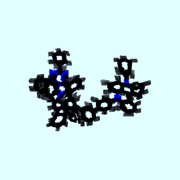 CC1(C)c2ccccc2-c2cc3c4ccccc4n(-c4c(-c5cccc(-c6cccc(-c7ccc(N8c9ccccc9B9c%10ccccc%10N(c%10ccccc%10)c%10cccc8c%109)cc7)c6)c5)cccc4-c4nc(-c5ccccc5)nc(-c5ccccc5)n4)c3cc21